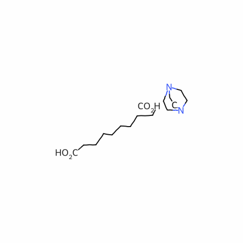 C1CN2CCN1CC2.O=C(O)CCCCCCCCC(=O)O